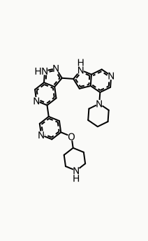 c1ncc(-c2cc3c(-c4cc5c(N6CCCCC6)cncc5[nH]4)n[nH]c3cn2)cc1OC1CCNCC1